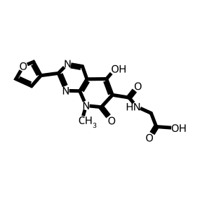 Cn1c(=O)c(C(=O)NCC(=O)O)c(O)c2cnc(-c3ccoc3)nc21